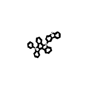 c1ccc(-n2c3ccccc3c3c4c5ccccc5n(-c5ccc6sc7ccccc7c6c5)c4c4ccccc4c32)cc1